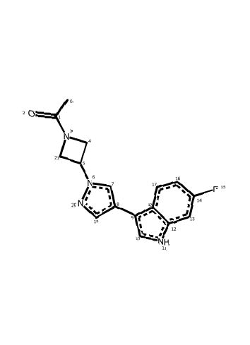 CC(=O)N1CC(n2cc(-c3c[nH]c4cc(F)ccc34)cn2)C1